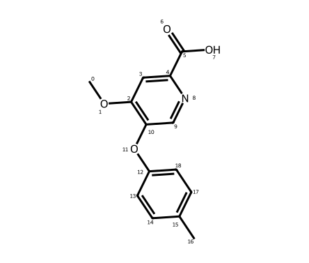 COc1cc(C(=O)O)ncc1Oc1ccc(C)cc1